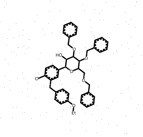 CCOc1ccc(Cc2cc(C3OC(COCc4ccccc4)C(OCc4ccccc4)C(OCc4ccccc4)C3O)ccc2Cl)cc1